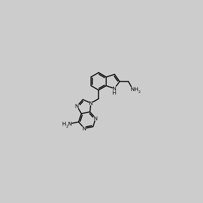 NCc1cc2cccc(Cn3cnc4c(N)ncnc43)c2[nH]1